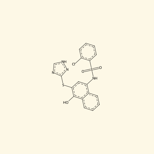 O=S(=O)(Nc1cc(Sc2nc[nH]n2)c(O)c2ccccc12)c1ccccc1Cl